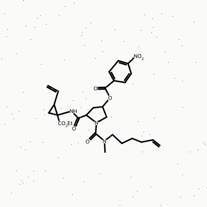 C=CCCCCN(C)C(=O)N1CC(OC(=O)c2ccc([N+](=O)[O-])cc2)CC1C(=O)NC1(C(=O)OCC)CC1C=C